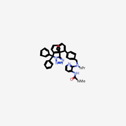 CCCN(Cc1ccc(-c2ccccc2-c2nnnn2C(c2ccccc2)(c2ccccc2)c2ccccc2)cc1)c1ncccc1NC(=O)NC